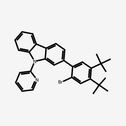 CC(C)(C)c1cc(Br)c(-c2ccc3c4ccccc4n(-c4ccccn4)c3c2)cc1C(C)(C)C